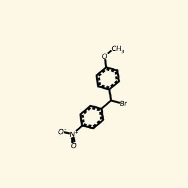 COc1ccc(C(Br)c2ccc([N+](=O)[O-])cc2)cc1